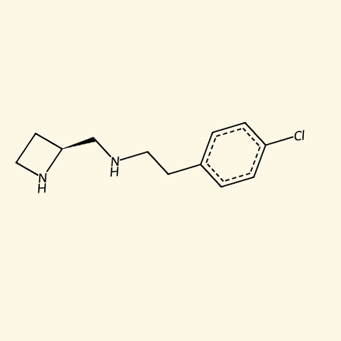 Clc1ccc(CCNC[C@@H]2CCN2)cc1